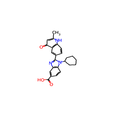 Cc1cc(=O)c2cc(-c3nc4cc(C(=O)O)ccc4n3C3CCCCC3)ccc2[nH]1